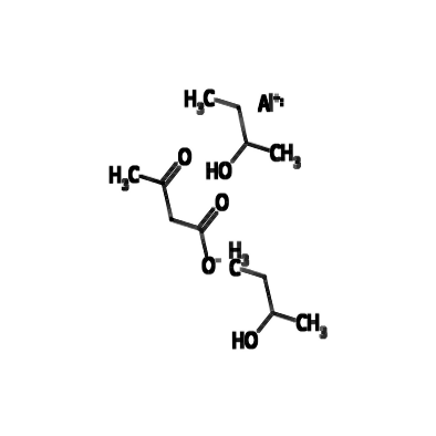 CC(=O)CC(=O)[O-].CCC(C)O.CCC(C)O.[Al+]